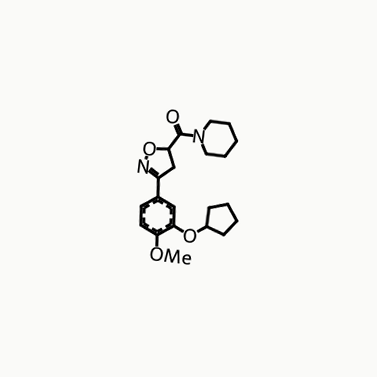 COc1ccc(C2=NOC(C(=O)N3CCCCC3)C2)cc1OC1CCCC1